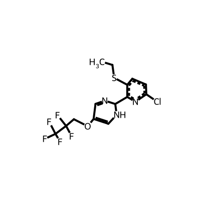 CCSc1ccc(Cl)nc1C1N=CC(OCC(F)(F)C(F)(F)F)=CN1